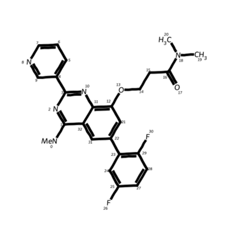 CNc1nc(-c2cccnc2)nc2c(OCCC(=O)N(C)C)cc(-c3cc(F)ccc3F)cc12